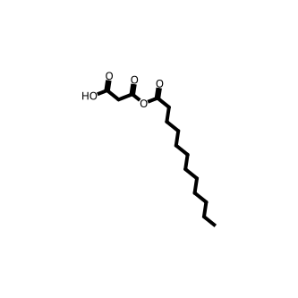 CCCCCCCCCCCC(=O)OC(=O)CC(=O)O